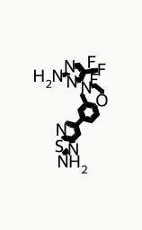 Nc1ncc(C(F)(F)F)c(N2CCOc3ccc(-c4cnc5sc(N)nc5c4)cc3C2)n1